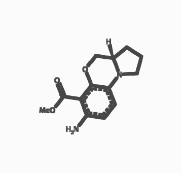 COC(=O)c1c(N)ccc2c1OC[C@@H]1CCCN21